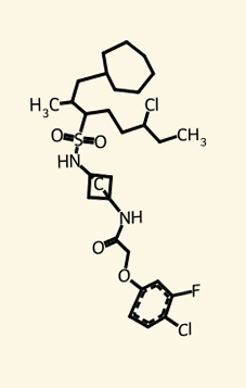 CCC(Cl)CCC(C(C)CC1CCCCCC1)S(=O)(=O)NC12CC(NC(=O)COc3ccc(Cl)c(F)c3)(C1)C2